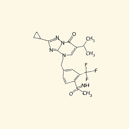 CC(C)c1cn(Cc2ccc(S(C)(=N)=O)c(C(F)(F)F)c2)c2nc(C3CC3)nn2c1=O